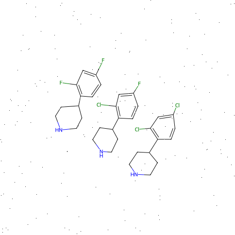 Clc1ccc(C2CCNCC2)c(Cl)c1.Fc1ccc(C2CCNCC2)c(Cl)c1.Fc1ccc(C2CCNCC2)c(F)c1